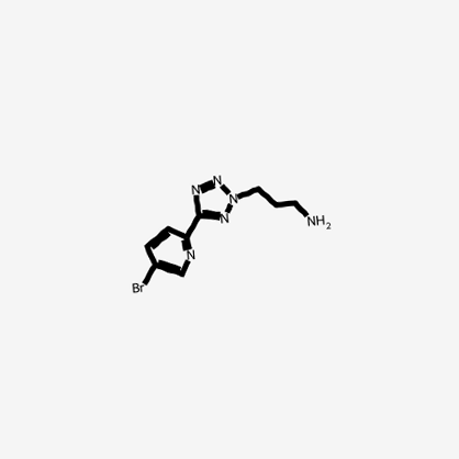 NCCCn1nnc(-c2ccc(Br)cn2)n1